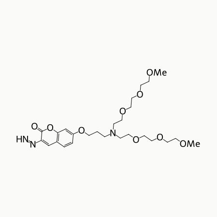 COCCOCCOCCN(CCCOc1ccc2cc(N=N)c(=O)oc2c1)CCOCCOCCOC